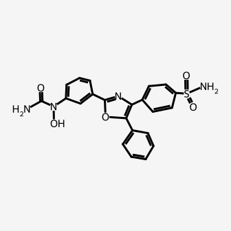 NC(=O)N(O)c1cccc(-c2nc(-c3ccc(S(N)(=O)=O)cc3)c(-c3ccccc3)o2)c1